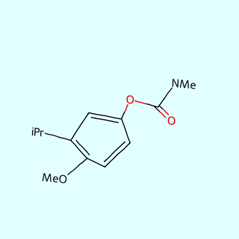 CNC(=O)Oc1ccc(OC)c(C(C)C)c1